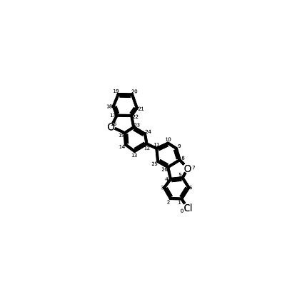 Clc1ccc2c(c1)oc1ccc(-c3ccc4oc5ccccc5c4c3)cc12